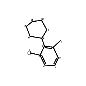 Cc1cccc(Cl)c1[C]1CCCCC1